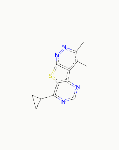 Cc1nnc2sc3c(C4CC4)ncnc3c2c1C